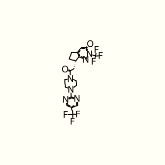 O=C(C[C@@H]1CCc2cc(=O)n(C(F)(F)F)nc21)N1CCN(c2ncc(C(F)(F)F)cn2)CC1